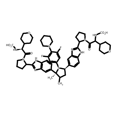 CC1C[C@H](c2ccc3[nH]c(C4CCCN4C(=O)C(NC(=O)O)C4CCOCC4)nc3c2)N(c2cc(F)c(N3CCCCC3)c(F)c2)[C@]1(C)c1ccc2[nH]c(C3CCCN3C(=O)[C@@H](NC(=O)O)C3CCOCC3)nc2c1